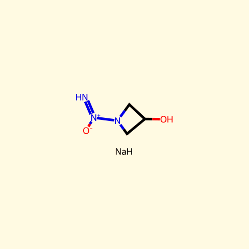 N=[N+]([O-])N1CC(O)C1.[NaH]